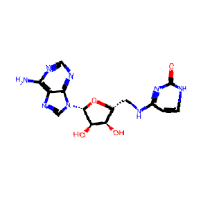 Nc1ncnc2c1ncn2[C@@H]1O[C@H](CNc2cc[nH]c(=O)n2)[C@@H](O)[C@H]1O